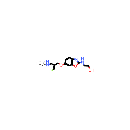 O=C(O)NCC(=CF)COc1ccc2nc(NCCO)oc2c1